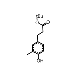 Cc1cc(CCC(=O)OC(C)(C)C)ccc1O